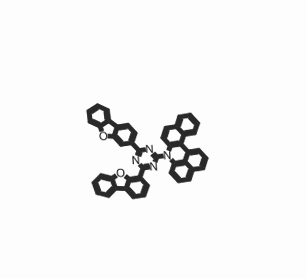 c1ccc2c3c(ccc2c1)N(c1nc(-c2ccc4c(c2)oc2ccccc24)nc(-c2cccc4c2oc2ccccc24)n1)c1cccc2cccc-3c12